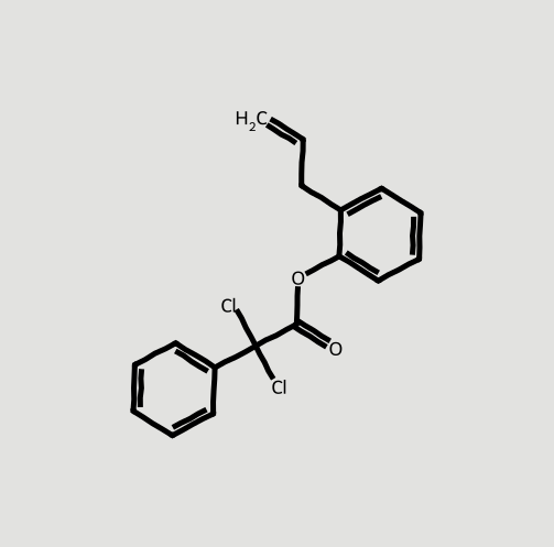 C=CCc1ccccc1OC(=O)C(Cl)(Cl)c1ccccc1